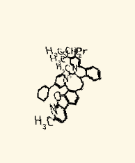 C=C1C2C(CCc3ccc4c(oc5nc(C)ccc54)c3-c3cc(C4CCCCC4)cc[n+]31)c1ccccc1-c1cc(C(C)C)c([Si](C)(C)C)c[n+]12